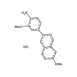 COc1ccc2cc(-c3ccc(N)c(OC)c3)ccc2c1.Cl